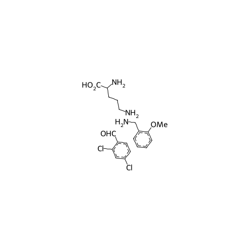 COc1ccccc1CN.NCCCC(N)C(=O)O.O=Cc1ccc(Cl)cc1Cl